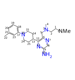 CNCCN(C)Cc1ncc(N)nc1C1CCN(c2cccc(C)c2)CC1